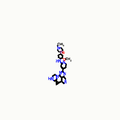 CCN1CCP(=O)(c2ccc(Nc3cc(-c4nc(N5CCNCC5)c5c(C6CC6)cncc5n4)ccn3)c(OC)c2)CC1